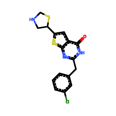 O=c1[nH]c(Cc2cccc(Cl)c2)nc2sc(C3CNCS3)cc12